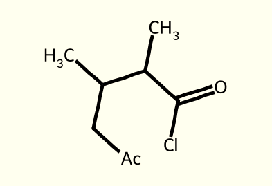 CC(=O)CC(C)C(C)C(=O)Cl